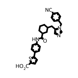 N#Cc1ccc(Cn2cncc2CC2CCCC(C(=O)Nc3ccc(-c4ccc(C(=O)O)s4)cc3)C2)cc1